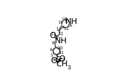 CS(=O)(=O)c1ccc(CNC(=O)C=CC2CCNCC2)cc1